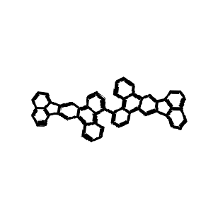 c1cc2c3c(cccc3c1)-c1cc3c(cc1-2)c1ccccc1c1c(-c2cccc4c5cc6c(cc5c5ccccc5c24)-c2cccc4cccc-6c24)cccc31